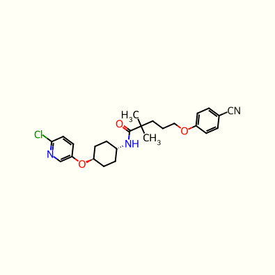 CC(C)(CCCOc1ccc(C#N)cc1)C(=O)N[C@H]1CC[C@H](Oc2ccc(Cl)nc2)CC1